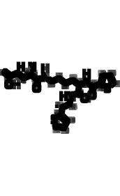 C=C(O)CC[C@H](N)C(=O)NCCCCC(NC(=O)c1cccs1)C(=O)NCCc1cccs1